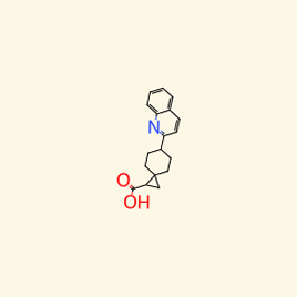 O=C(O)C1CC12CCC(c1ccc3ccccc3n1)CC2